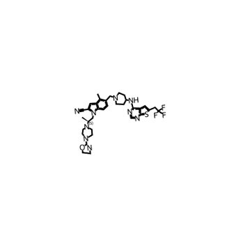 Cc1c(CN2CCC(Nc3ncnc4sc(CC(F)(F)F)cc34)CC2)ccc2c1cc(C#N)n2C[C@H](C)N1CCN(C2=NCCO2)CC1